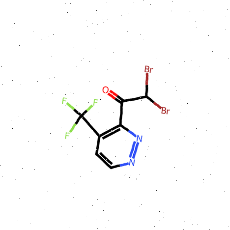 O=C(c1nnccc1C(F)(F)F)C(Br)Br